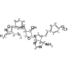 COc1ccc(/C=C/c2cn([C@@H]3O[C@H](CSCc4c(C)noc4-c4ccccc4)[C@@H](O)[C@H]3O)c3ncnc(N)c23)cc1